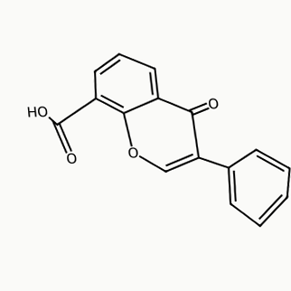 O=C(O)c1cccc2c(=O)c(-c3ccccc3)coc12